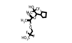 C=C(COCC(F)(F)S(=O)(=O)O)C(=O)OC(C1CCCC1)C(C)(O)C(F)(F)F